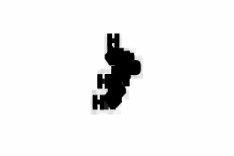 CC(C)n1c(=O)c2cnc(Nc3ccc4c(c3)CNCC4)nc2n1-c1cc[nH]n1